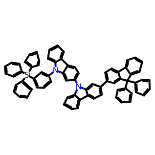 c1ccc(C2(c3ccccc3)c3ccccc3-c3ccc(-c4ccc5c6ccccc6n(-c6ccc7c8ccccc8n(-c8cccc([Si](c9ccccc9)(c9ccccc9)c9ccccc9)c8)c7c6)c5c4)cc32)cc1